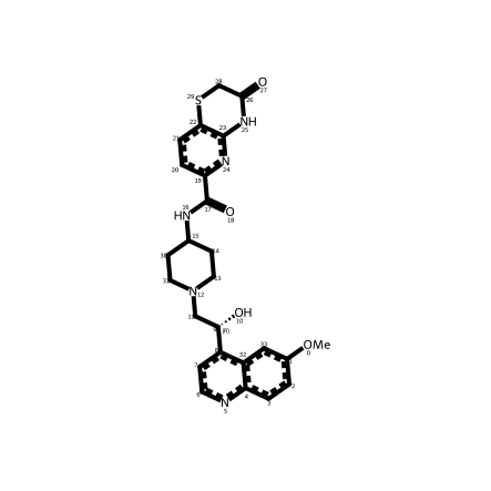 COc1ccc2nccc([C@@H](O)CN3CCC(NC(=O)c4ccc5c(n4)NC(=O)CS5)CC3)c2c1